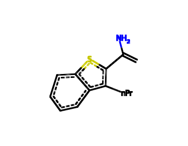 C=C(N)c1sc2ccccc2c1CCC